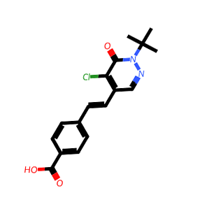 CC(C)(C)n1ncc(/C=C/c2ccc(C(=O)O)cc2)c(Cl)c1=O